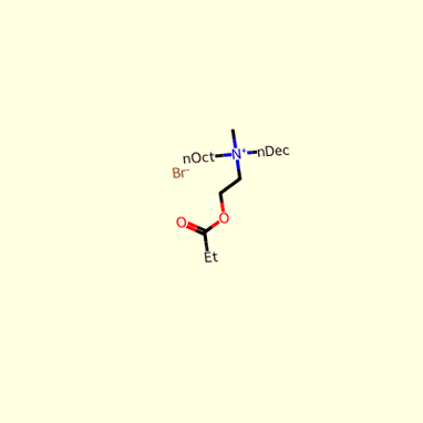 CCCCCCCCCC[N+](C)(CCCCCCCC)CCOC(=O)CC.[Br-]